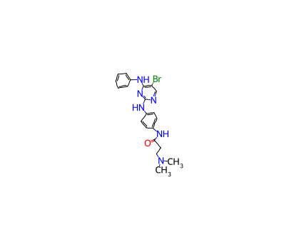 CN(C)CCC(=O)Nc1ccc(Nc2ncc(Br)c(Nc3ccccc3)n2)cc1